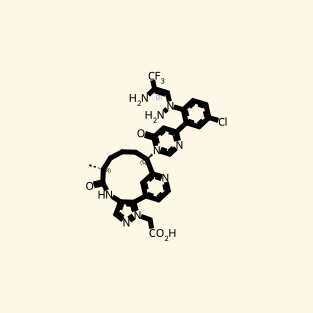 C[C@@H]1CCC[C@H](n2cnc(-c3cc(Cl)ccc3N(N)/C=C(\N)C(F)(F)F)cc2=O)c2cc(ccn2)-c2c(cnn2CC(=O)O)NC1=O